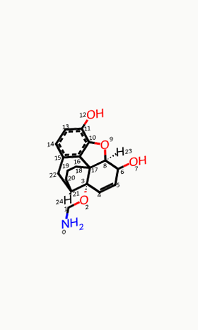 NCO[C@@]12C=CC(O)[C@@H]3Oc4c(O)ccc5c4C31CCC[C@@H]2C5